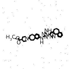 CCOC(=O)C1CCN(C2CCc3ccc(Nc4nc(N)n(-c5cc6c(nn5)-c5ccccc5CCC6)n4)cc3CC2)CC1